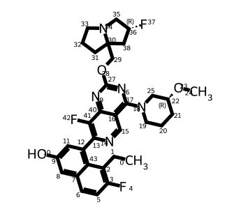 CCc1c(F)ccc2cc(O)cc(-c3ncc4c(N5CCC[C@@H](OC)C5)nc(OCC56CCCN5C[C@H](F)C6)nc4c3F)c12